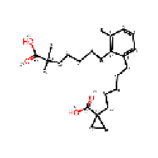 Cc1cccc(CCCCCC2(C(=O)O)CC2)c1CCCCCC(C)(C)C(=O)O